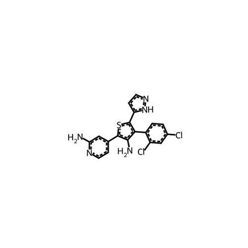 Nc1cc(-c2sc(-c3ccn[nH]3)c(-c3ccc(Cl)cc3Cl)c2N)ccn1